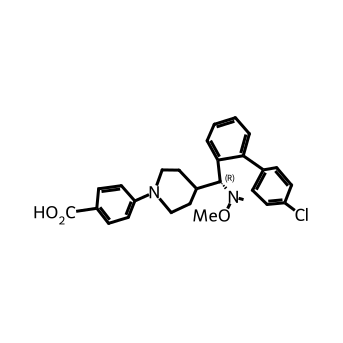 CON(C)[C@@H](c1ccccc1-c1ccc(Cl)cc1)C1CCN(c2ccc(C(=O)O)cc2)CC1